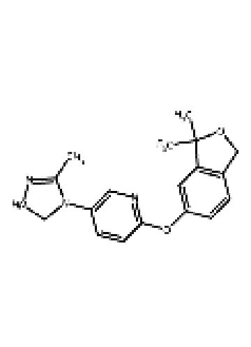 CC1=NNCN1c1ccc(Oc2ccc3c(c2)C(C)(C(F)(F)F)OC3)nc1